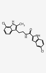 Cc1[nH]c2c(Cl)cccc2c1CCNC(=O)c1cc2cc(Cl)ccc2[nH]1